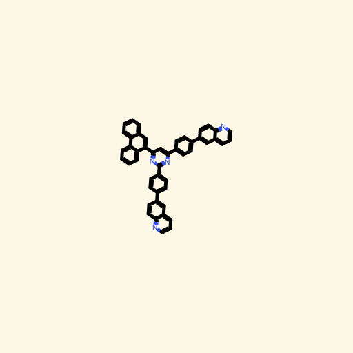 c1cnc2ccc(-c3ccc(-c4cc(-c5cc6ccccc6c6ccccc56)nc(-c5ccc(-c6ccc7ncccc7c6)cc5)n4)cc3)cc2c1